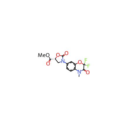 COC(=O)[C@H]1CN(c2ccc3c(c2)OC(F)(F)C(=O)N3C)C(=O)O1